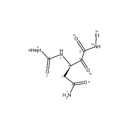 CCCCCCCC(=O)N[C@H](CC(N)=O)C(=O)C(=O)NCC